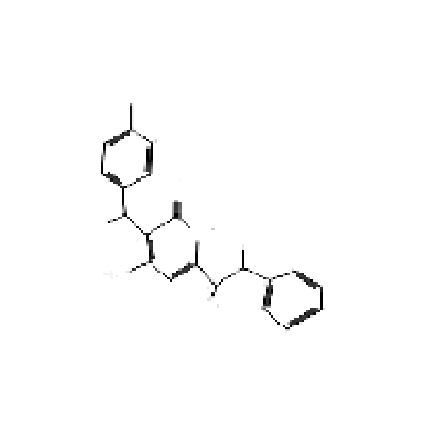 CCC(c1ccc(O)cc1)c1c(O)cc(C(CC)C(O)c2ccccc2)oc1=O